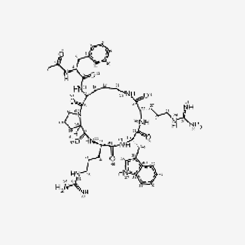 CC(=O)N[C@@H](Cc1ccccc1)C(=O)NC1CCCNC(=O)[C@H](CCCNC(=N)N)NC(=O)[C@H](Cc2c[nH]c3ccccc23)NC(=O)[C@@H](CCCNC(=N)N)NC(=O)[C@@H]2CCCN2C1=O